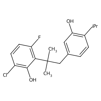 CC(C)c1ccc(CC(C)(C)c2c(F)ccc(Cl)c2O)cc1O